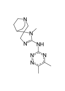 Cc1nnc(NC2=NCC3(CN4CCC3CC4)N2C)nc1C